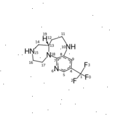 FC(F)(F)c1cnc2c(c1)NCC[C@H]1CNCCN21